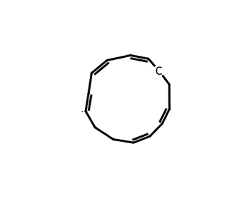 [C]1=CC=CC=CCCC=CC=CCC1